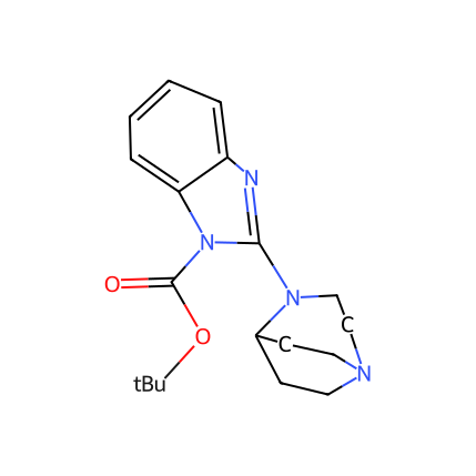 CC(C)(C)OC(=O)n1c(N2CCN3CCC2CC3)nc2ccccc21